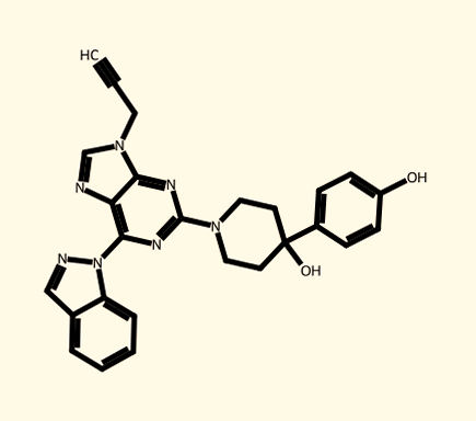 C#CCn1cnc2c(-n3ncc4ccccc43)nc(N3CCC(O)(c4ccc(O)cc4)CC3)nc21